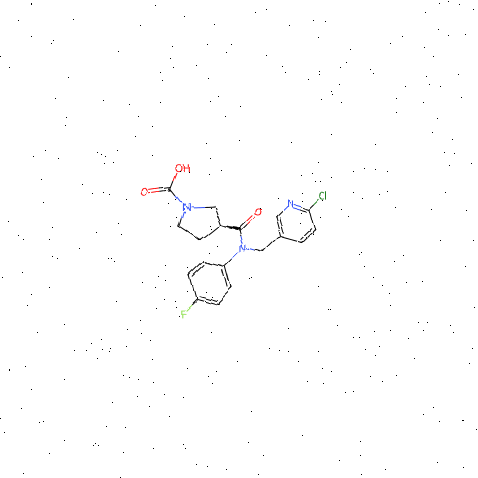 O=C(O)N1CC[C@H](C(=O)N(Cc2ccc(Cl)nc2)c2ccc(F)cc2)C1